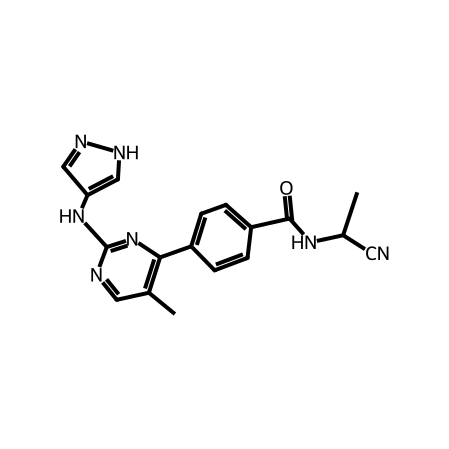 Cc1cnc(Nc2cn[nH]c2)nc1-c1ccc(C(=O)NC(C)C#N)cc1